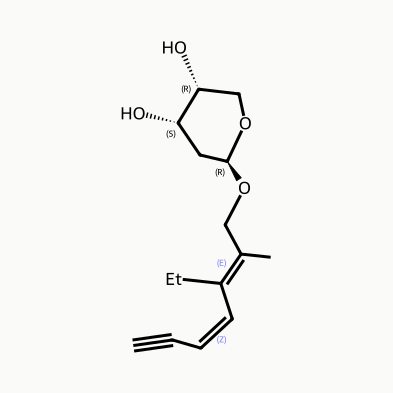 C#C/C=C\C(CC)=C(/C)CO[C@H]1C[C@H](O)[C@H](O)CO1